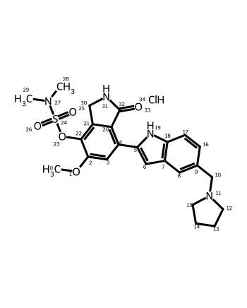 COc1cc(-c2cc3cc(CN4CCCC4)ccc3[nH]2)c2c(c1OS(=O)(=O)N(C)C)CNC2=O.Cl